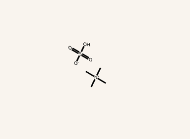 C[N+](C)(C)C.O=S(=O)([O-])O